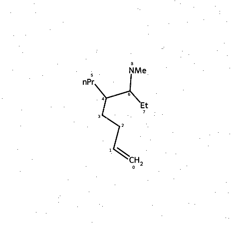 C=CCCC(CCC)C(CC)NC